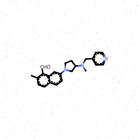 Cc1ccc2ccc(N3CCC(N(C)Cc4ccncc4)C3)cc2c1C=O